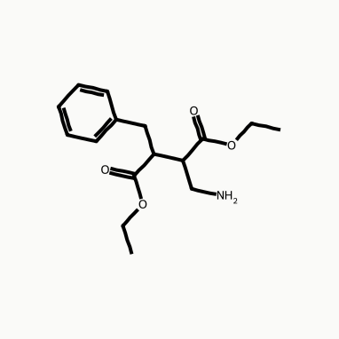 CCOC(=O)C(CN)C(Cc1ccccc1)C(=O)OCC